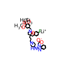 COc1cc(CN2CCC(CCCN3CCC(Nc4nc5ccccc5n4CC(=O)[O-])CC3)(Cc3ccc(F)cc3)C2=O)cc(OC)c1OC.[Li+]